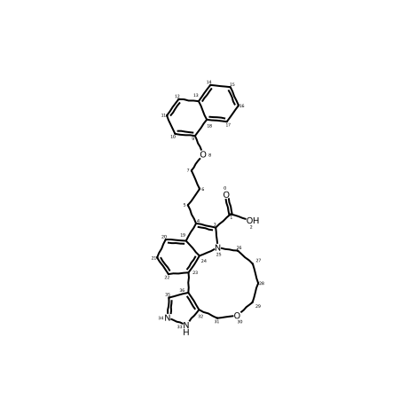 O=C(O)c1c(CCCOc2cccc3ccccc23)c2cccc3c2n1CCCCOCc1[nH]ncc1-3